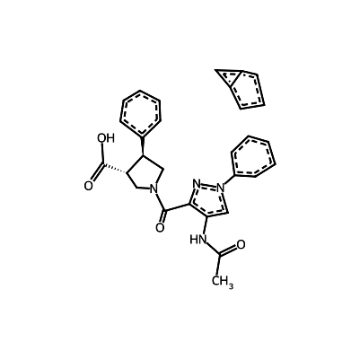 CC(=O)Nc1cn(-c2ccccc2)nc1C(=O)N1C[C@H](C(=O)O)[C@@H](c2ccccc2)C1.c1cc2cc-2c1